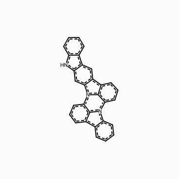 c1ccc2c(c1)[nH]c1cc3c(cc12)c1cccc2c1n3c1cccc3c4ccccc4n2c31